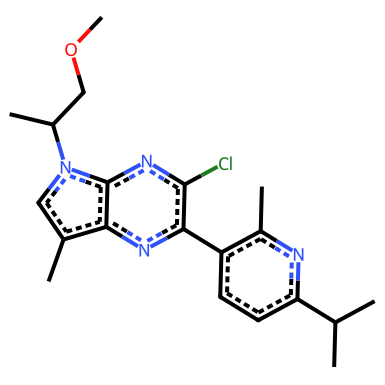 COCC(C)n1cc(C)c2nc(-c3ccc(C(C)C)nc3C)c(Cl)nc21